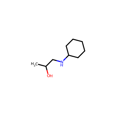 CC(O)CNC1CCCCC1